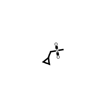 CS(=O)(=O)C[C]1CC1